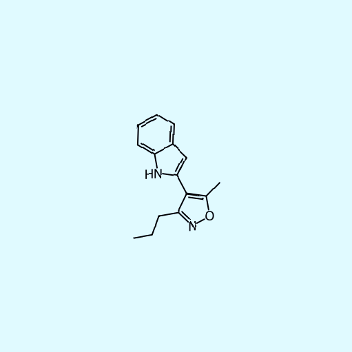 CCCc1noc(C)c1-c1cc2ccccc2[nH]1